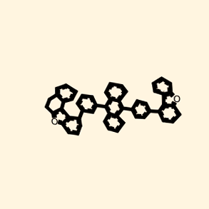 c1cc(-c2c3ccccc3c(-c3ccc(-c4cccc5oc6ccccc6c45)cc3)c3ccccc23)cc(-c2cccc3oc4c(c23)-c2ccccc2CC4)c1